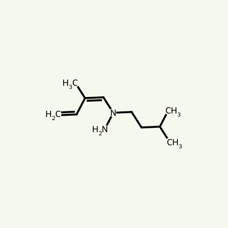 C=C/C(C)=C\N(N)CCC(C)C